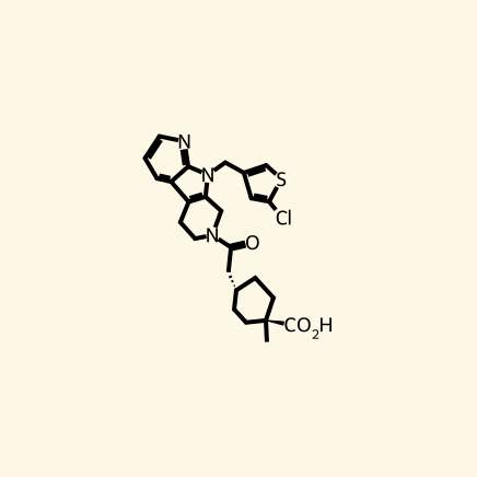 C[C@]1(C(=O)O)CC[C@H](CC(=O)N2CCc3c(n(Cc4csc(Cl)c4)c4ncccc34)C2)CC1